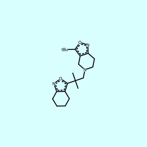 CC(C)(C)c1onc2c1CN(CC(C)(C)c1onc3c1CCCC3)CC2